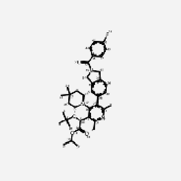 Cc1nc(C)c([C@H](OC(C)(C)C)C(=O)OC(C)C)c(N2CCC(C)(C)CC2)c1-c1ccc2c(c1)CN(C(=O)c1ccc(F)cc1)C2